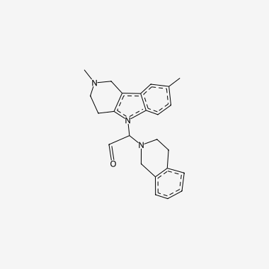 Cc1ccc2c(c1)c1c(n2C(C=O)N2CCc3ccccc3C2)CCN(C)C1